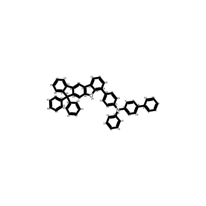 c1ccc(-c2ccc(N(c3ccccc3)c3ccc(-c4cccc5c4oc4cc6c(cc45)-c4ccccc4C6(c4ccccc4)c4ccccc4)cc3)cc2)cc1